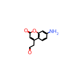 Nc1ccc2c(CC=O)cc(=O)oc2c1